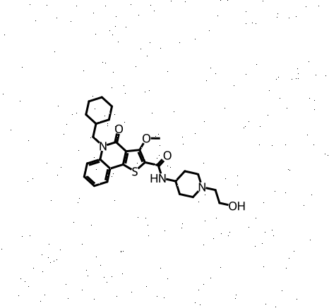 COc1c(C(=O)NC2CCN(CCO)CC2)sc2c1c(=O)n(CC1CCCCC1)c1ccccc21